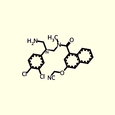 CN(C[C@H](CN)c1ccc(Cl)c(Cl)c1)C(=O)c1cc(OCC#N)cc2ccccc12